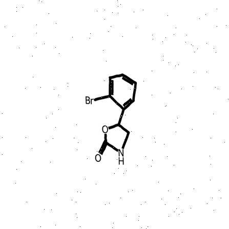 O=C1NCC(c2ccccc2Br)O1